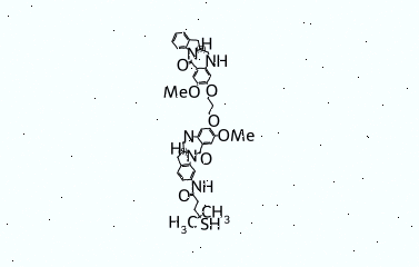 COc1cc2c(cc1OCCCOc1cc3c(cc1OC)C(=O)N1c4ccccc4C[C@H]1CN3)N=C[C@@H]1Cc3ccc(NC(=O)CCC(C)(C)S)cc3N1C2=O